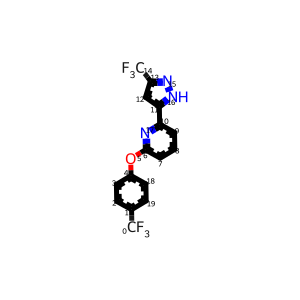 FC(F)(F)c1ccc(Oc2cccc(-c3cc(C(F)(F)F)n[nH]3)n2)cc1